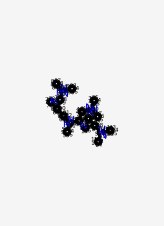 c1ccc(-c2cc(-c3ccc(-c4c(-c5ccccn5)cccc4-c4ccccc4-c4nc(-c5ccccc5)nc(-c5cccc(-c6cccc(-c7cc(-c8ccccc8)nc(-c8ccc(-c9ccc(-c%10ccccn%10)c(-c%10ccc(-c%11nc(-c%12ccccc%12)nc(-c%12ccccc%12)n%11)cc%10)c9)cc8)n7)c6)c5)n4)cc3)nc(-c3ccccc3)n2)cc1